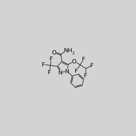 NC(=O)c1c(C(F)(F)F)nn(-c2ccccc2)c1OC(F)(F)C(F)F